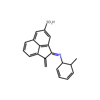 C=c1/c(=N\C2C=CC=CC2C)c2cc(S(=O)(=O)O)cc3cccc1c32